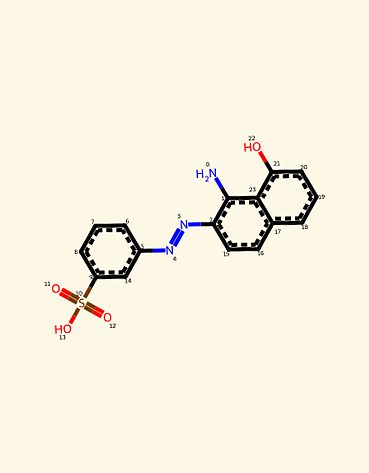 Nc1c(N=Nc2cccc(S(=O)(=O)O)c2)ccc2cccc(O)c12